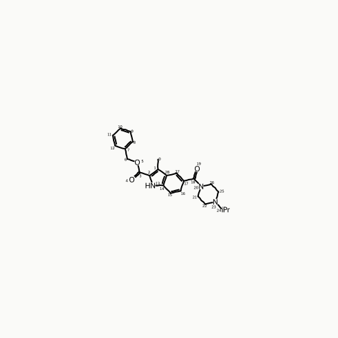 Cc1c(C(=O)OCc2ccccc2)[nH]c2ccc(C(=O)N3CCN(C(C)C)CC3)cc12